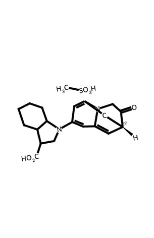 CS(=O)(=O)O.O=C(O)C1CN(C2=CC3=C[C@@H]4CC(=C2)N3CC4=O)C2CCCCC12